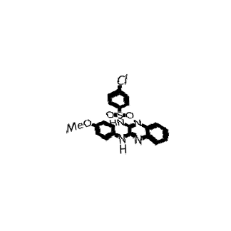 COc1ccc(Nc2nc3ccccc3nc2NS(=O)(=O)c2ccc(Cl)cc2)cc1